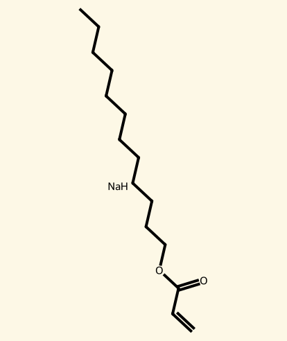 C=CC(=O)OCCCCCCCCCCCC.[NaH]